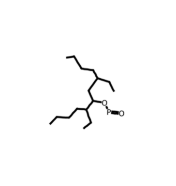 CCCCC(CC)CC(OP=O)C(CC)CCCC